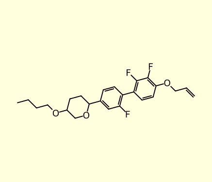 C=CCOc1ccc(-c2ccc(C3CCC(OCCCC)CO3)cc2F)c(F)c1F